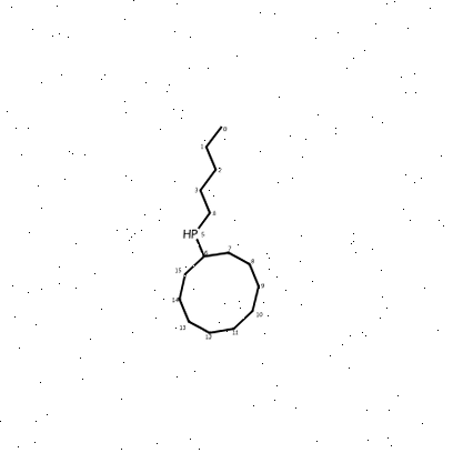 CCCCCPC1CCCCCCCCC1